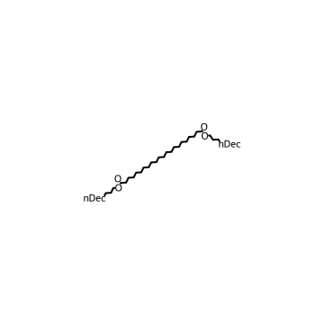 CCCCCCCCCCCCCOC(=O)CCCCCCCCCCCCCCCCCCCCC(=O)OCCCCCCCCCCCCC